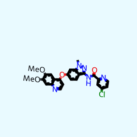 COc1cc2nccc(Oc3ccc4c(NC(=O)c5cc(Cl)ccn5)nn(C)c4c3)c2cc1OC